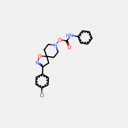 O=C(Nc1ccccc1)ON1CCC2(CC1)CC(c1ccc(Cl)cc1)=NO2